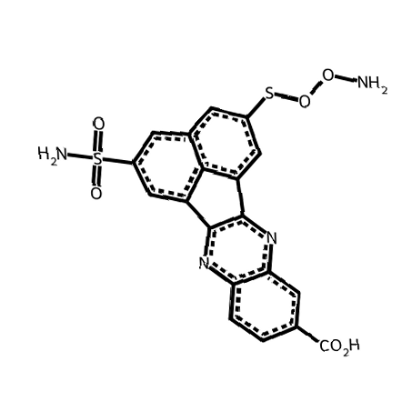 NOOSc1cc2c3c(cc(S(N)(=O)=O)cc3c1)-c1nc3ccc(C(=O)O)cc3nc1-2